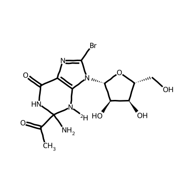 [2H]N1c2c(nc(Br)n2[C@@H]2O[C@H](CO)[C@@H](O)[C@H]2O)C(=O)NC1(N)C(C)=O